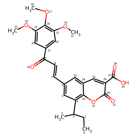 CCC(C)c1cc(C=CC(=O)c2cc(OC)c(OC)c(OC)c2)cc2cc(C(=O)O)c(=O)oc12